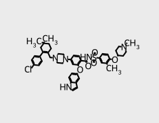 Cc1cc(S(=O)(=O)NC(=O)c2ccc(N3CCN(CC4=C(c5ccc(Cl)cc5)CC(C)(C)CC4)CC3)cc2Oc2ccc3[nH]ccc3c2)ccc1OC1CCN(C)CC1